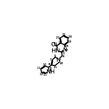 O=c1[nH]c(CN2CC=C(C3C=CC=CN3)CC2)nc2ccccc12